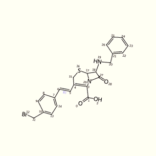 O=C(O)C1=C(/C=C/c2ccc(CBr)cc2)CSC2C(NCc3ccccc3)C(=O)N12